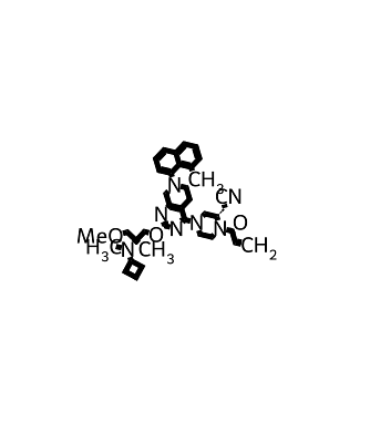 C=CC(=O)N1CCN(c2nc(OCC(C)(COC)N(C)C3CCC3)nc3c2CCN(c2cccc4cccc(C)c24)C3)C[C@@H]1CC#N